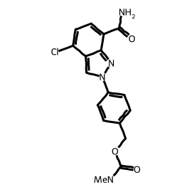 CNC(=O)OCc1ccc(-n2cc3c(Cl)ccc(C(N)=O)c3n2)cc1